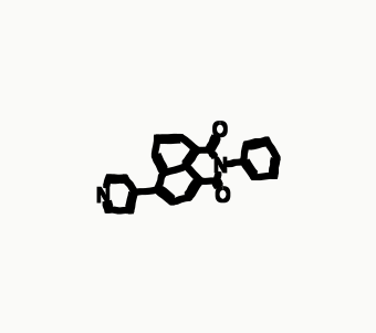 O=C1c2cccc3c(-c4ccncc4)ccc(c23)C(=O)N1c1ccccc1